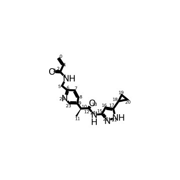 C=CC(=O)NCc1ccc([C@H](C)C(=O)Nc2cc(C3CC3)[nH]n2)cn1